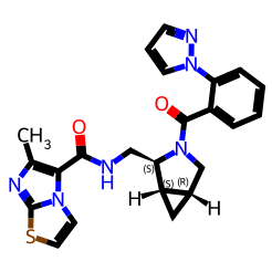 Cc1nc2sccn2c1C(=O)NC[C@@H]1[C@H]2C[C@H]2CN1C(=O)c1ccccc1-n1cccn1